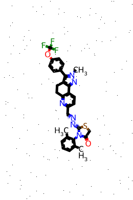 Cc1cccc(C)c1N1C(=O)CS/C1=N\N=C\c1ccc2c(n1)CCc1c-2nn(C)c1-c1ccc(OC(F)(F)F)cc1